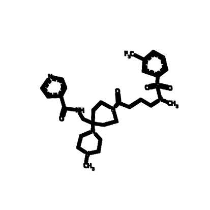 CN1CCN(C2(CNC(=O)c3ccncc3)CCN(C(=O)CCCN(C)S(=O)(=O)c3cccc(C(F)(F)F)c3)CC2)CC1